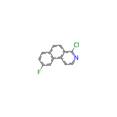 Fc1ccc2ccc3c(Cl)nccc3c2c1